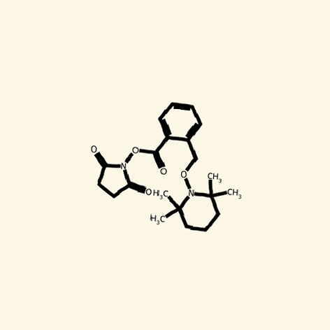 CC1(C)CCCC(C)(C)N1OCc1ccccc1C(=O)ON1C(=O)CCC1=O